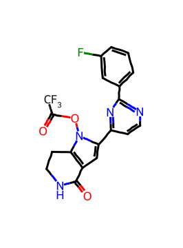 O=C1NCCc2c1cc(-c1ccnc(-c3cccc(F)c3)n1)n2OC(=O)C(F)(F)F